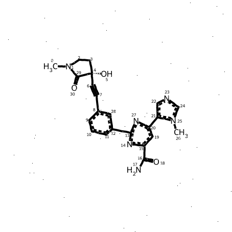 CN1CC[C@@](O)(C#Cc2cccc(-c3nc(C(N)=O)cc(-c4cncn4C)n3)c2)C1=O